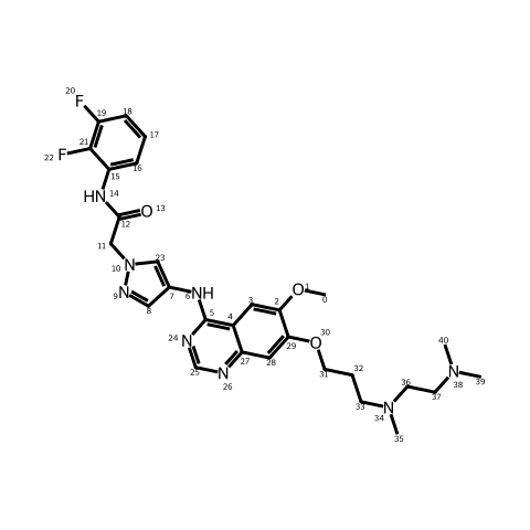 COc1cc2c(Nc3cnn(CC(=O)Nc4cccc(F)c4F)c3)ncnc2cc1OCCCN(C)CCN(C)C